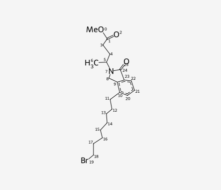 COC(=O)CCC(C)N1Cc2c(CCCCCCCCBr)cccc2C1=O